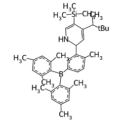 Cc1cc(C)c(B(c2ccc(C)c(C3C=C(C(C)C(C)(C)C)C([Si](C)(C)C)=CN3)c2)c2c(C)cc(C)cc2C)c(C)c1